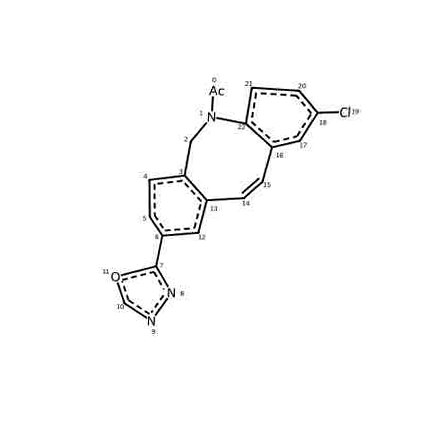 CC(=O)N1Cc2ccc(-c3nnco3)cc2C=Cc2cc(Cl)ccc21